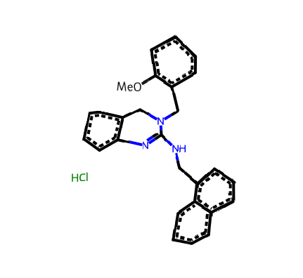 COc1ccccc1CN1Cc2ccccc2N=C1NCc1cccc2ccccc12.Cl